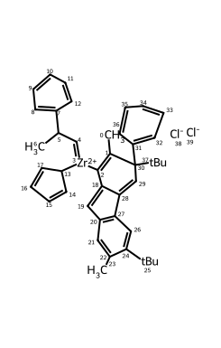 CC1=[C]([Zr+2](=[CH]C(C)c2ccccc2)[CH]2C=CC=C2)C2=Cc3cc(C)c(C(C)(C)C)cc3C2=CC1(c1ccccc1)C(C)(C)C.[Cl-].[Cl-]